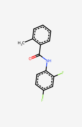 Cc1ccccc1C(=O)Nc1ccc(F)cc1F